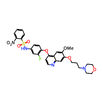 COc1cc2c(Oc3ccc(NS(=O)(=O)c4ccccc4[N+](=O)[O-])cc3F)ccnc2cc1OCCCN1CCOCC1